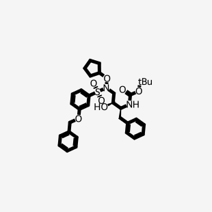 CC(C)(C)OC(=O)N[C@@H](Cc1ccccc1)[C@@H](O)CN(OC1CCCC1)S(=O)(=O)c1cccc(OCc2ccccc2)c1